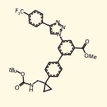 COC(=O)c1cc(-c2ccc(C3(CNC(=O)OC(C)(C)C)CC3)cc2)cc(-n2cc(-c3ccc(C(F)(F)F)cc3)nn2)c1